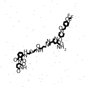 NC(=O)c1cc(-c2cn(CCCC(=O)NCCOCCNc3cccc4c3C(=O)N(C3CCC(=O)NC3=O)C4=O)cn2)cnc1OC1CCN(C(=O)Cc2ccc(OC(F)(F)F)cc2)CC1